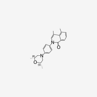 Cc1cccc2c(=O)n(-c3ccc(N4C[C@@H](C)O[C@@H](C)C4)cc3)cc(C)c12